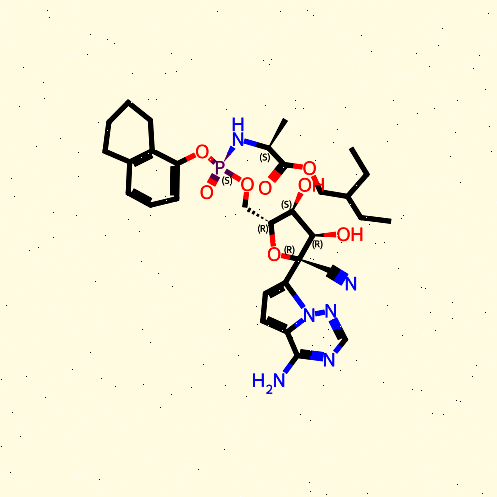 CCC(CC)COC(=O)[C@H](C)N[P@](=O)(OC[C@H]1O[C@@](C#N)(c2ccc3c(N)ncnn23)[C@H](O)[C@@H]1O)Oc1cccc2c1CCCC2